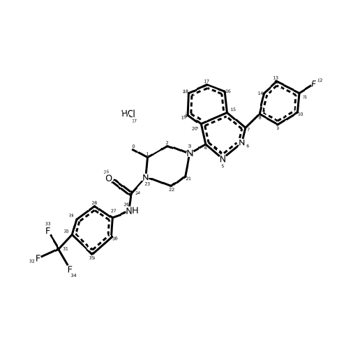 CC1CN(c2nnc(-c3ccc(F)cc3)c3ccccc23)CCN1C(=O)Nc1ccc(C(F)(F)F)cc1.Cl